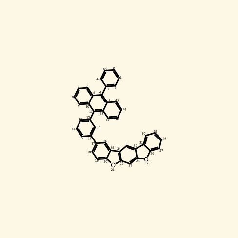 c1ccc(-c2c3ccccc3c(-c3cccc(-c4ccc5oc6cc7oc8ccccc8c7cc6c5c4)c3)c3ccccc23)cc1